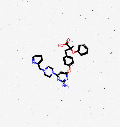 CC(Cc1ccc(Oc2cc(N3CCN(Cc4ccccn4)CC3)nc(N)n2)cc1)(Oc1ccccc1)C(=O)O